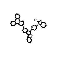 CCc1nc2ccccc2n1-c1ccc(-c2c3cc(-c4ccc5c6ccccc6c6ccccc6c5c4)ccc3n3c2oc2ccccc23)cc1